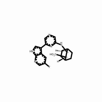 O=C(O)[C@H]1C2CCC(CC2)[C@@H]1Nc1cncc(-c2c[nH]c3ncc(F)cc23)n1